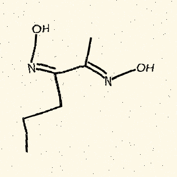 CCCC(=NO)C(C)=NO